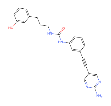 Nc1ncc(C#Cc2cccc(NC(=O)NCCCc3cccc(O)c3)c2)cn1